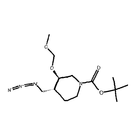 COCO[C@H]1CN(C(=O)OC(C)(C)C)CC[C@@H]1CN=[N+]=[N-]